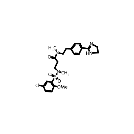 COc1ccc(Cl)cc1S(=O)(=O)N(C)CCC(=O)N(C)CCc1ccc(C2=NCCN2)cc1